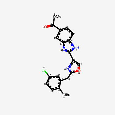 COC(=O)c1ccc2[nH]c(-c3coc(Cc4cc(Cl)ccc4OCC(C)C)n3)nc2c1